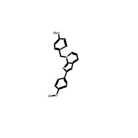 CCOc1ccc(-c2cc3cccn(Cc4ccc(OC)cc4)c-3n2)cc1